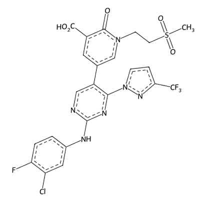 CS(=O)(=O)CCn1cc(-c2cnc(Nc3ccc(F)c(Cl)c3)nc2-n2ccc(C(F)(F)F)n2)cc(C(=O)O)c1=O